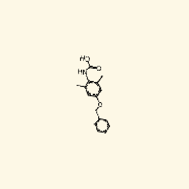 Cc1cc(OCc2ccccc2)cc(C)c1NC(=O)O